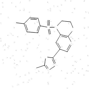 CC(C)(C)c1nnc(-c2cnc3c(c2)N(S(=O)(=O)c2ccc(F)cc2)CCO3)o1